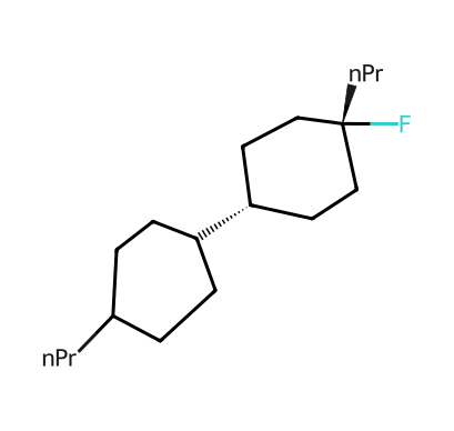 CCCC1CCC([C@H]2CC[C@](F)(CCC)CC2)CC1